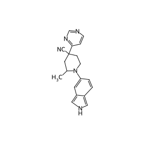 CC1CC(C#N)(c2ccncn2)CCN1c1ccc2c[nH]cc2c1